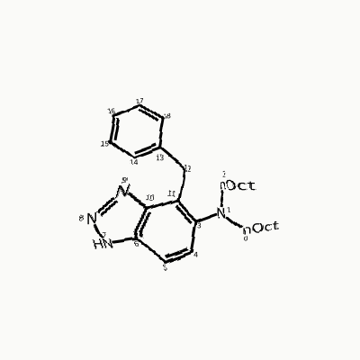 CCCCCCCCN(CCCCCCCC)c1ccc2[nH]nnc2c1Cc1ccccc1